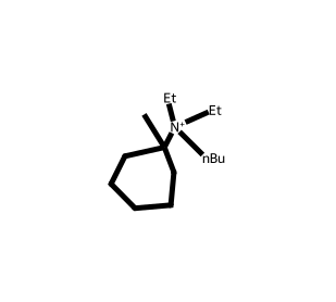 CCCC[N+](CC)(CC)C1(C)CCCCC1